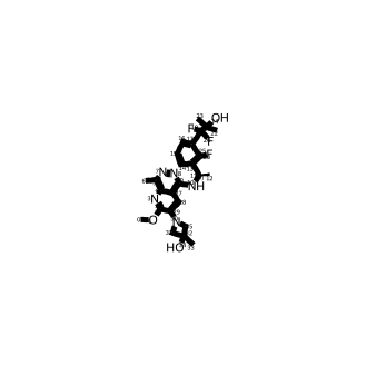 COc1nc2c(C)nnc(N[C@H](C)c3cccc(C(F)(F)C(C)(C)O)c3F)c2cc1N1CC(C)(O)C1